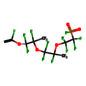 C=C(F)OC(F)(F)C(F)(OC(F)(F)C(F)(OC(F)(F)C(F)(F)S(=O)(=O)F)C(F)(F)F)C(F)(F)F